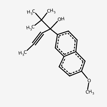 CC#CC(O)(c1ccc2cc(OC)ccc2c1)C(C)(C)C